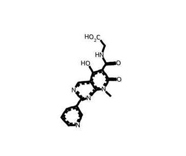 Cn1c(=O)c(C(=O)NCC(=O)O)c(O)c2cnc(-c3cccnc3)nc21